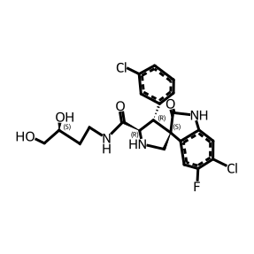 O=C(NCC[C@H](O)CO)[C@@H]1NC[C@]2(C(=O)Nc3cc(Cl)c(F)cc32)[C@H]1c1cccc(Cl)c1